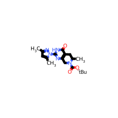 Cc1cc(C)n(-c2nc3c(c(=O)[nH]2)CC(C)N(C(=O)OC(C)(C)C)C3)n1